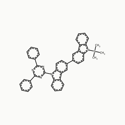 C[Si](C)(C)n1c2ccccc2c2cc(-c3ccc4c(c3)c3ccccc3n4-c3nc(-c4ccccc4)nc(-c4ccccc4)n3)ccc21